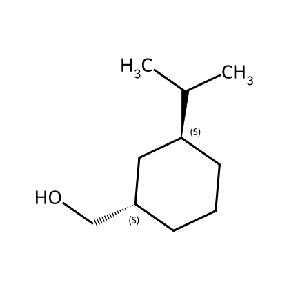 CC(C)[C@H]1CCC[C@H](CO)C1